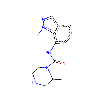 CC1CNCCN1C(=O)Nc1cccc2cnn(C)c12